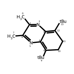 Cc1nc2c(nc1C)=C(C(C)(C)C)CCC=2C(C)(C)C